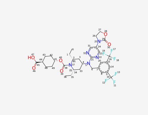 CC[C@@H]1CC(N(Cc2cc(C(F)(F)F)cc(C(F)(F)F)c2)c2ncc(N3CCOC3=O)cn2)C[C@H](CC)N1C(=O)O[C@H]1CC[C@H](C(=O)O)CC1